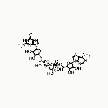 Nc1nc2c(ncn2[C@@H]2O[C@H](COP(=O)(O)OP(=O)(O)CP(=O)(O)OP(=O)(O)OC[C@H]3O[C@@H](n4cnc5c(N)ncnc54)C(O)C3O)[C@H](O)C2O)c(=O)[nH]1